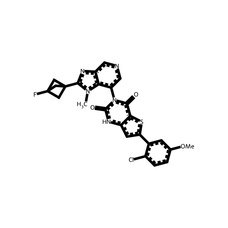 COc1ccc(Cl)c(-c2cc3[nH]c(=O)n(-c4cncc5nc(C67CC(F)(C6)C7)n(C)c45)c(=O)c3s2)c1